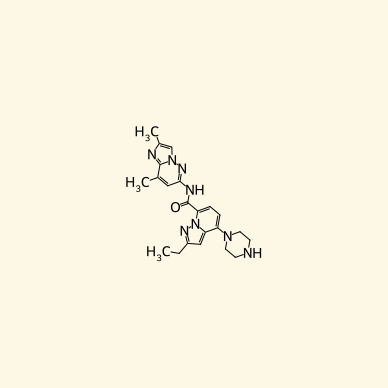 CCc1cc2c(N3CCNCC3)ccc(C(=O)Nc3cc(C)c4nc(C)cn4n3)n2n1